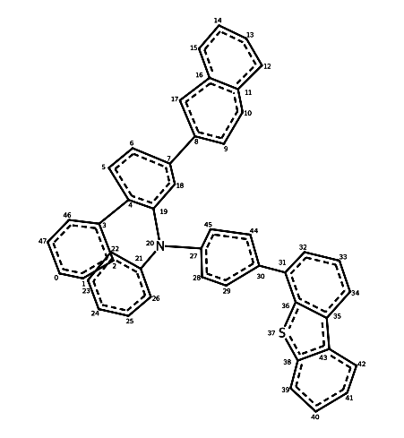 c1ccc(-c2ccc(-c3ccc4ccccc4c3)cc2N(c2ccccc2)c2ccc(-c3cccc4c3sc3ccccc34)cc2)cc1